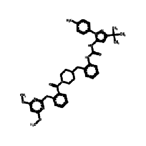 COc1cc(OC)nc(Sc2ccccc2C(=O)N2CCC(Cc3ccccc3NC(=O)Nc3cc(C(C)(C)C)nn3-c3ccc(C)cc3)CC2)n1